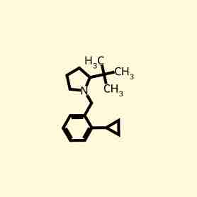 CC(C)(C)C1CCCN1Cc1ccccc1C1CC1